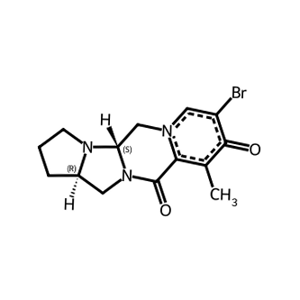 Cc1c2n(cc(Br)c1=O)C[C@@H]1N(C[C@H]3CCCN31)C2=O